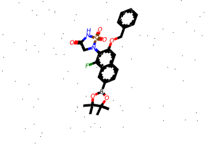 CC1(C)OB(c2ccc3cc(OCc4ccccc4)c(N4CC(=O)NS4(=O)=O)c(F)c3c2)OC1(C)C